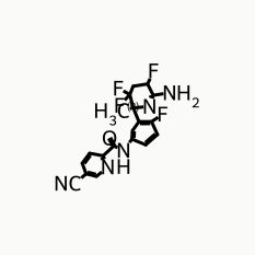 C[C@]1(c2cc(NC(=O)c3ccc(C#N)cn3)ccc2F)N=C(N)C(F)CC1(F)F